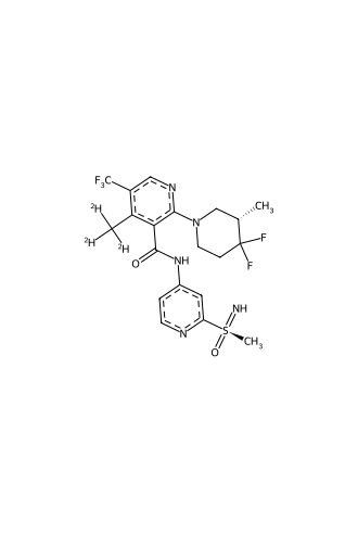 [2H]C([2H])([2H])c1c(C(F)(F)F)cnc(N2CCC(F)(F)[C@@H](C)C2)c1C(=O)Nc1ccnc([S@](C)(=N)=O)c1